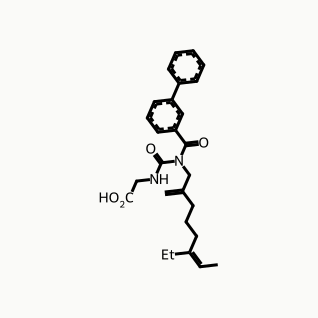 C=C(CCC/C(=C\C)CC)CN(C(=O)NCC(=O)O)C(=O)c1cccc(-c2ccccc2)c1